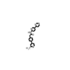 Cc1cc(-c2ccc(CC(=O)Nc3ccc(-c4ccncn4)cn3)cc2)ccn1